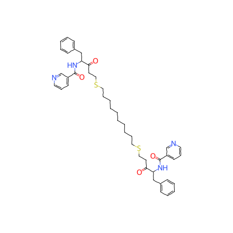 O=C(NC(Cc1ccccc1)C(=O)CCSCCCCCCCCCCSCCC(=O)C(Cc1ccccc1)NC(=O)c1cccnc1)c1cccnc1